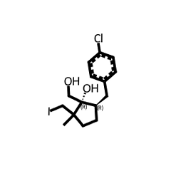 CC1(CI)CC[C@H](Cc2ccc(Cl)cc2)[C@]1(O)CO